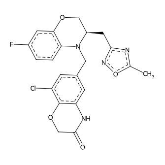 Cc1nc(C[C@@H]2COc3cc(F)ccc3N2Cc2cc(Cl)c3c(c2)NC(=O)CO3)no1